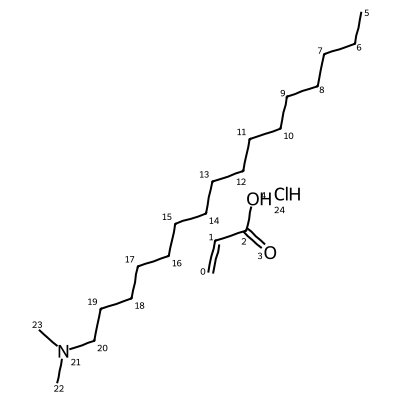 C=CC(=O)O.CCCCCCCCCCCCCCCCN(C)C.Cl